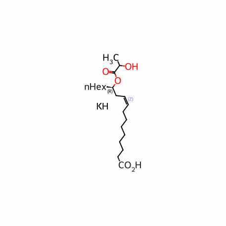 CCCCCC[C@H](C/C=C\CCCCCCCC(=O)O)OC(=O)C(C)O.[KH]